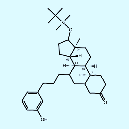 CC(C)(C)[Si](C)(C)OC1CC[C@H]2[C@@H]3C(CCCc4cccc(O)c4)CC4CC(=O)CC[C@]4(C)[C@@H]3CC[C@]12C